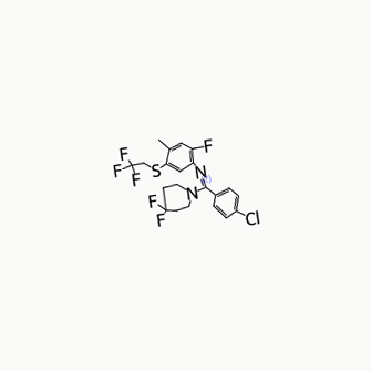 Cc1cc(F)c(/N=C(/c2ccc(Cl)cc2)N2CCC(F)(F)CC2)cc1SCC(F)(F)F